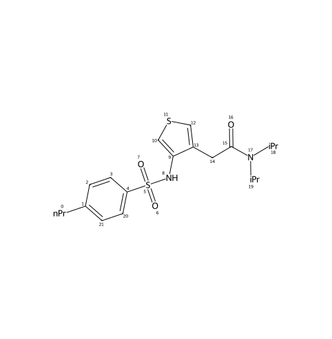 CCCc1ccc(S(=O)(=O)Nc2cscc2CC(=O)N(C(C)C)C(C)C)cc1